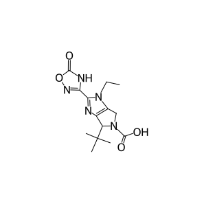 CCn1c(-c2noc(=O)[nH]2)nc2c1CN(C(=O)O)C2C(C)(C)C